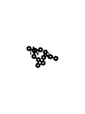 CC1=C(c2ccccc2)N=C(c2cccc(-c3ccc4c(c3)c3ccccc3c3cccc(-c5ccc6c7ccccc7n(-c7ccc(-c8ccccc8)cc7)c6c5)c34)c2)N=C(c2ccccc2)C1